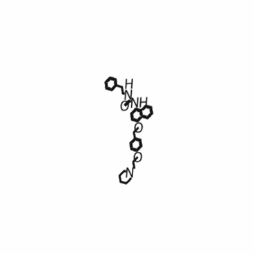 O=C(NCCc1ccccc1)Nc1ccc(OCc2ccc(OCCN3CCCCC3)cc2)c2ccccc12